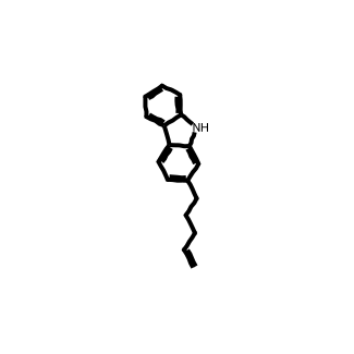 C=CCCCc1ccc2c(c1)[nH]c1ccccc12